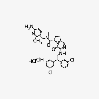 Cc1nc(N)ccc1CNC(=O)[C@@H]1CCc2cnc(NCC(c3cccc(Cl)c3)c3cccc(Cl)c3)c(=O)n21.Cl.Cl